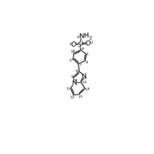 NS(=O)(=O)c1ccc(-c2cn3ccccc3n2)cc1